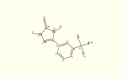 Cn1nc(-c2cccc(C(F)(F)F)c2)n(C)c1=S